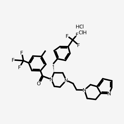 Cc1cc(C(=O)N2CCN(CCN3CCc4ncccc4C3)C[C@H]2Cc2ccc(C(F)(F)F)cc2)cc(C(F)(F)F)c1.Cl.Cl